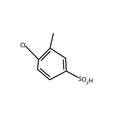 Cc1cc(S(=O)(=O)O)ccc1Cl